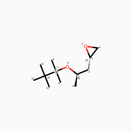 C[C@H](C[C@H]1CO1)O[Si](C)(C)C(C)(C)C